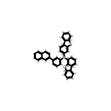 c1cc(-c2ccc3ccccc3c2)cc(N(c2ccc3c(c2)sc2ccccc23)c2cccc3c2oc2ccccc23)c1